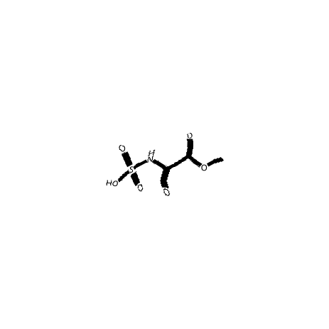 COC(=O)C(=O)NS(=O)(=O)O